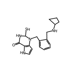 O=C1NC(S)N(Cc2ccccc2CNC2CCC2)c2cc[nH]c21